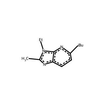 CCC(C)c1ccc2nc(C)n(CC)c2n1